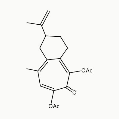 C=C(C)C1CCc2c(c(C)cc(OC(C)=O)c(=O)c2OC(C)=O)C1